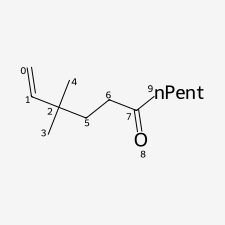 C=CC(C)(C)CCC(=O)CCCCC